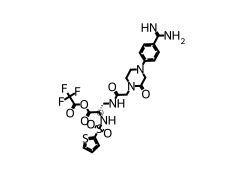 N=C(N)c1ccc(N2CCN(CC(=O)NC[C@H](NS(=O)(=O)c3cccs3)C(=O)OC(=O)C(F)(F)F)C(=O)C2)cc1